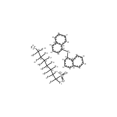 O=S(=O)([O-])C(F)(F)C(F)(F)C(F)(F)C(F)(F)C(F)(F)C(F)(F)C(F)(F)C(F)(F)F.c1ccc2c([I+]c3cccc4ccccc34)cccc2c1